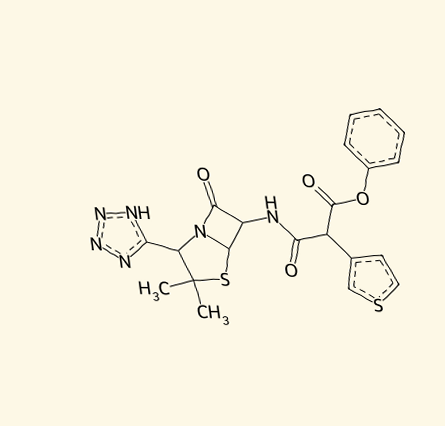 CC1(C)SC2C(NC(=O)C(C(=O)Oc3ccccc3)c3ccsc3)C(=O)N2C1c1nnn[nH]1